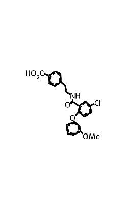 COc1cccc(Oc2ccc(Cl)cc2C(=O)NCCc2ccc(C(=O)O)cc2)c1